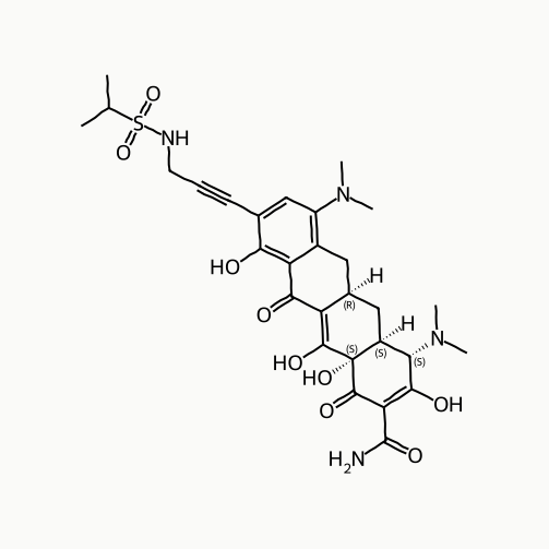 CC(C)S(=O)(=O)NCC#Cc1cc(N(C)C)c2c(c1O)C(=O)C1=C(O)[C@]3(O)C(=O)C(C(N)=O)=C(O)[C@@H](N(C)C)[C@@H]3C[C@@H]1C2